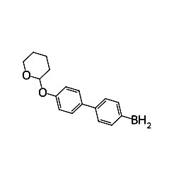 Bc1ccc(-c2ccc(OC3CCCCO3)cc2)cc1